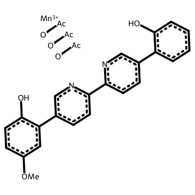 CC(=O)[O-].CC(=O)[O-].CC(=O)[O-].COc1ccc(O)c(-c2ccc(-c3ccc(-c4ccccc4O)cn3)nc2)c1.[Mn+3]